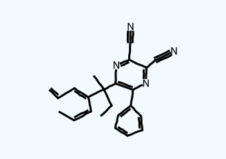 C=C/C=C(\C=C/C)C(C)(CC)c1nc(C#N)c(C#N)nc1-c1ccccc1